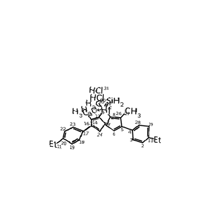 CCc1ccc(C2=CC[C]([Hf]([CH3])([CH3])(=[SiH2])[C]3=C(C)C(c4ccc(CC)cc4)=CC3)=C2C)cc1.Cl.Cl